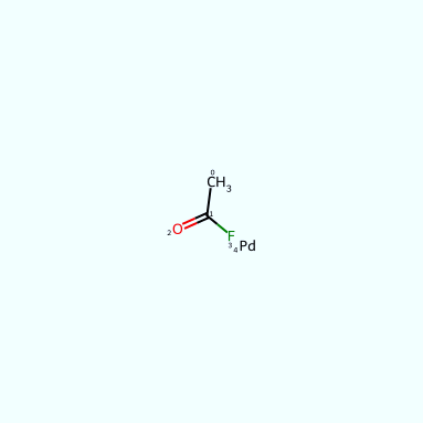 CC(=O)F.[Pd]